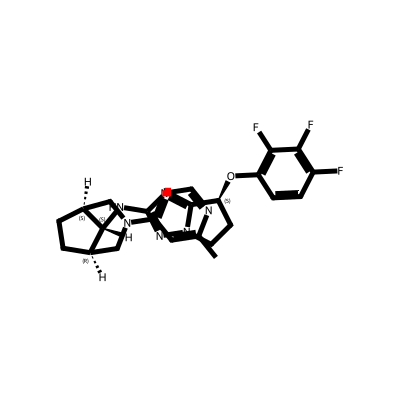 Cc1cc(N2C[C@H]3CC[C@@H](C2)[C@@H]3Nc2nc3n(n2)CC[C@@H]3Oc2ccc(F)c(F)c2F)ncn1